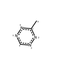 Cc1nncnn1